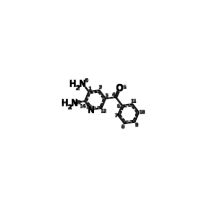 Nc1cc(C(=O)c2ccccc2)cnc1N